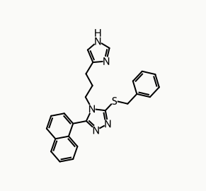 c1ccc(CSc2nnc(-c3cccc4ccccc34)n2CCCc2c[nH]cn2)cc1